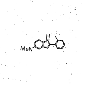 CNc1ccc2[nH]c(-c3ccccc3C)cc2c1